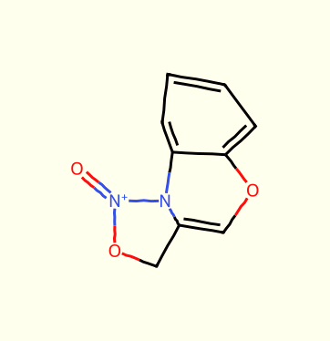 O=[N+]1OCC2=COc3ccccc3N21